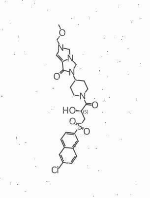 COCN1C=C2C(=O)N(C3CCN(C(=O)[C@H](O)CS(=O)(=O)c4ccc5cc(Cl)ccc5c4)CC3)CN2C1